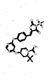 CC(C)(C)C1CC(Oc2cc(Oc3ccc(/C=C4\SC(=O)N(S(C)(=O)=O)C4=O)cc3)ncn2)CCN1C(=O)O